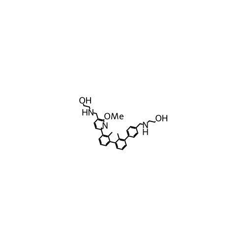 COc1nc(-c2cccc(-c3cccc(-c4ccc(CNCCO)cc4)c3C)c2C)ccc1CNCCO